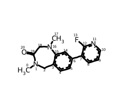 CN1Cc2ccc(-c3cccnc3F)cc2N(C)CC1=O